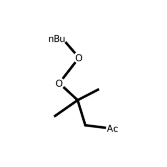 CCCCOOC(C)(C)CC(C)=O